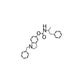 CC(Cc1ccccc1)NC(=O)Oc1ccc2c(c1)CCN2Cc1ccccc1